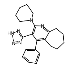 c1ccc(-c2c3c(nc(N4CCCCC4)c2-c2nn[nH]n2)CCCCC3)cc1